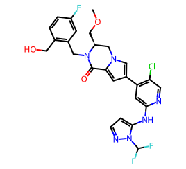 COC[C@H]1Cn2cc(-c3cc(Nc4ccnn4C(F)F)ncc3Cl)cc2C(=O)N1Cc1cc(F)ccc1CO